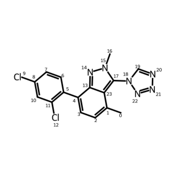 Cc1ccc(-c2ccc(Cl)cc2Cl)c2nn(C)c(-n3cnnn3)c12